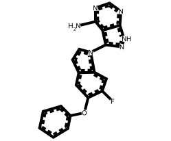 Nc1ncnc2[nH]nc(-n3ccc4cc(Oc5ccccc5)c(F)cc43)c12